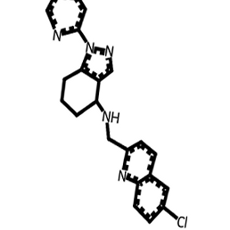 Clc1ccc2nc(CNC3CCCc4c3cnn4-c3ccccn3)ccc2c1